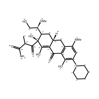 CNc1cc(N2CCCCC2)c(O)c2c1C[C@H]1CC([C@@H](CO)OC)[C@@](O)(C(=O)C(C)C(N)=O)C(O)=C1C2=O